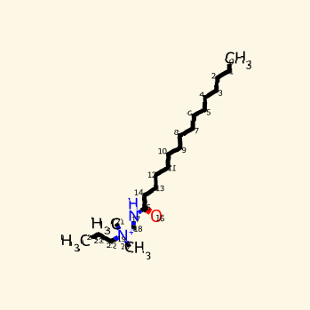 CCCCCCCCCCCCCCCC(=O)NC[N+](C)(C)CCC